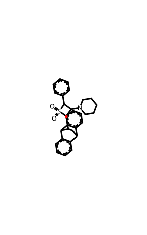 O=S1(=O)C(c2ccccc2)C(N2CCCCC2)C1C1CC2c3ccccc3C1c1ccccc12